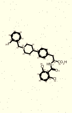 O=C(N[C@@H](Cc1ccc(C2CCN(Cc3ccccc3F)CC2)cc1)C(=O)O)c1c(Cl)cccc1Cl